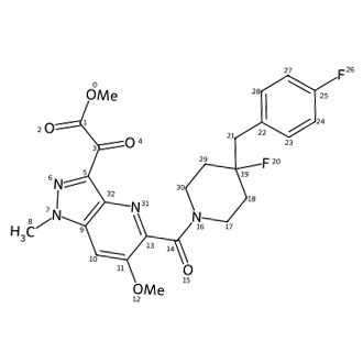 COC(=O)C(=O)c1nn(C)c2cc(OC)c(C(=O)N3CCC(F)(Cc4ccc(F)cc4)CC3)nc12